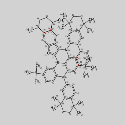 CC(C)(C)c1ccc2c(c1)B1c3oc4cc5c(cc4c3N(c3cc4c(cc3-c3ccccc3)C(C)(C)CCC4(C)C)c3cc(C(C)(C)C)cc(c31)N2c1ccc2c(c1)C(C)(C)CCC2(C)C)C1(C)CCC5(C)CC1